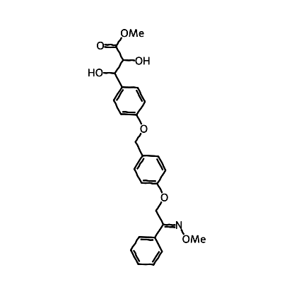 CON=C(COc1ccc(COc2ccc(C(O)C(O)C(=O)OC)cc2)cc1)c1ccccc1